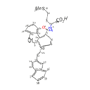 CSCCC(NC(=O)c1ccc(C=Cc2ccc3ccccc3c2)cc1-c1ccccc1C)C(=O)O